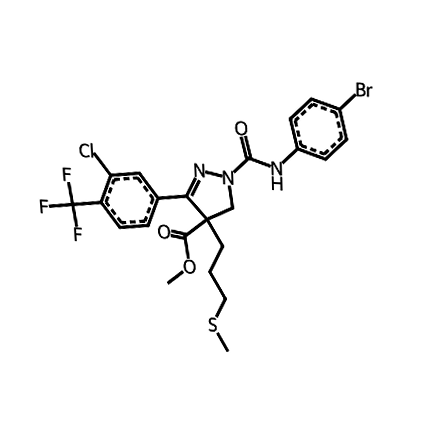 COC(=O)C1(CCCSC)CN(C(=O)Nc2ccc(Br)cc2)N=C1c1ccc(C(F)(F)F)c(Cl)c1